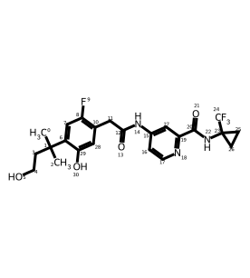 CC(C)(CCO)c1cc(F)c(CC(=O)Nc2ccnc(C(=O)NC3(C(F)(F)F)CC3)c2)cc1O